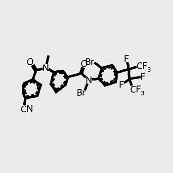 CN(C(=O)c1ccc(C#N)cc1)c1cccc(C(=O)N(Br)c2ccc(C(F)(C(F)(F)F)C(F)(F)C(F)(F)F)cc2Br)c1